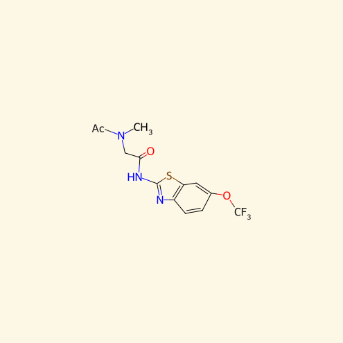 CC(=O)N(C)CC(=O)Nc1nc2ccc(OC(F)(F)F)cc2s1